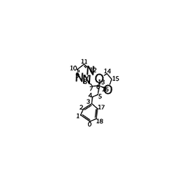 c1ccc(CCC2(Cn3nccn3)OCCO2)cc1